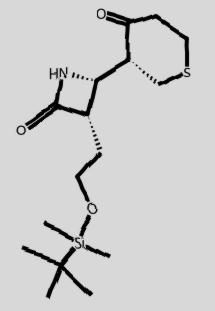 CC(C)(C)[Si](C)(C)OCC[C@@H]1C(=O)N[C@@H]1[C@H]1CSCCC1=O